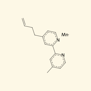 C=CCCc1ccnc(-c2cc(C)ccn2)c1.[Mn]